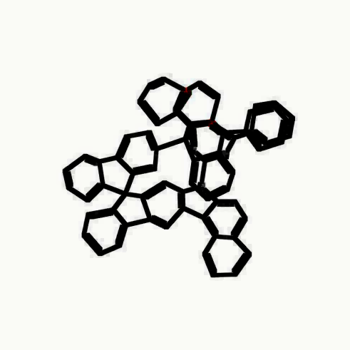 c1ccc(-c2cc(-c3ccccc3)nc(-n3c4cc5c(cc4c4c6ccccc6ccc43)-c3ccccc3C53c4ccccc4-c4ccc(-c5c6ccccc6c(-c6ccccc6)c6ccccc56)cc43)n2)cc1